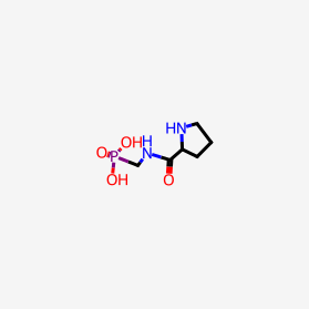 O=C(NCP(=O)(O)O)C1CCCN1